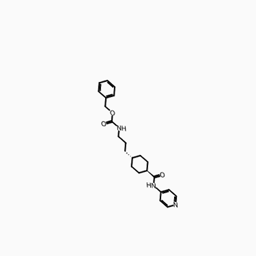 O=C(NCCC[C@H]1CC[C@H](C(=O)Nc2ccncc2)CC1)OCc1ccccc1